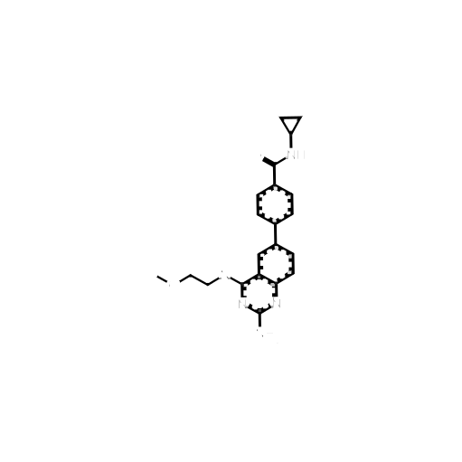 COCCNc1nc(N)nc2ccc(-c3ccc(C(=O)NC4CC4)cc3)cc12